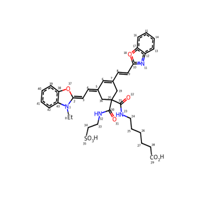 CCN1/C(=C/C=C2C=C(/C=C/c3nc4ccccc4o3)CC(C(=O)NCCCCCC(=O)O)(C(=O)NCCS(=O)(=O)O)C/2)Oc2ccccc21